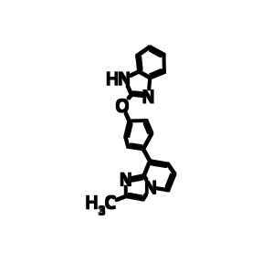 Cc1cn2cccc(-c3ccc(Oc4nc5ccccc5[nH]4)cc3)c2n1